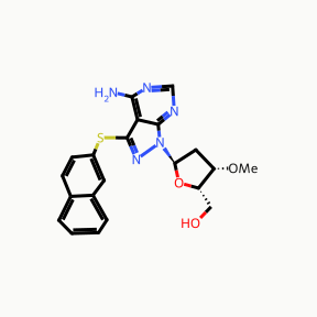 CO[C@H]1C[C@H](n2nc(Sc3ccc4ccccc4c3)c3c(N)ncnc32)O[C@H]1CO